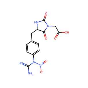 N=C(N)N(c1ccc(CC2NC(=O)N(CC(=O)O)C2=O)cc1)[N+](=O)[O-]